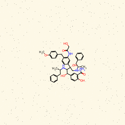 COc1ccc(Cc2ccc([C@@](O)(CN[C@H](C)Cc3ccccc3)C(N[C@H](C)Cc3ccccc3)[C@H](O)c3ccc(O)c(C(N)=O)c3)cc2NC(=O)CO)cc1